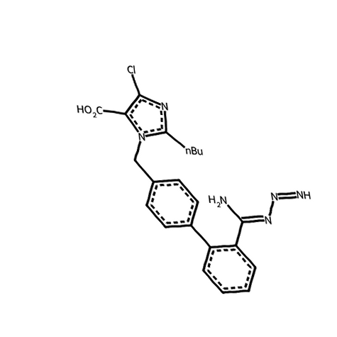 CCCCc1nc(Cl)c(C(=O)O)n1Cc1ccc(-c2ccccc2/C(N)=N/N=N)cc1